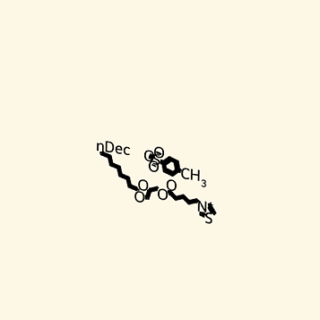 CCCCCCCCCCCCCCCCCC1OCC(COC(=O)CCCC[n+]2ccsc2)O1.Cc1ccc(S(=O)(=O)[O-])cc1